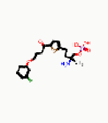 CC(N)(CCc1ccc(C(=O)CCCOc2cccc(F)c2)s1)COP(=O)(O)O